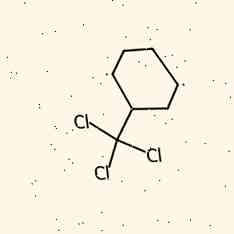 ClC(Cl)(Cl)C1[CH]CC[CH]C1